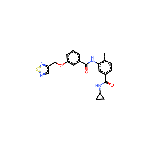 Cc1ccc(C(=O)NC2CC2)cc1NC(=O)c1cccc(OCc2cnsn2)c1